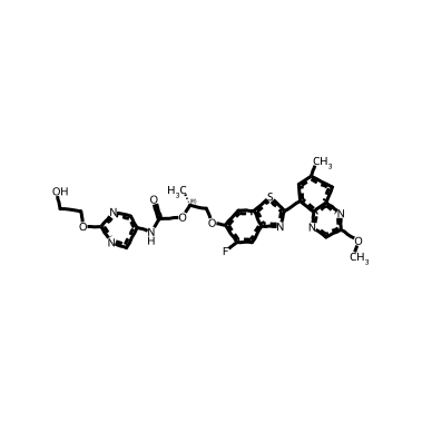 COc1cnc2c(-c3nc4cc(F)c(OC[C@@H](C)OC(=O)Nc5cnc(OCCO)nc5)cc4s3)cc(C)cc2n1